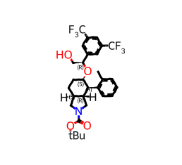 Cc1ccccc1[C@H]1[C@@H]2CN(C(=O)OC(C)(C)C)C[C@H]2CC[C@@H]1O[C@@H](CO)c1cc(C(F)(F)F)cc(C(F)(F)F)c1